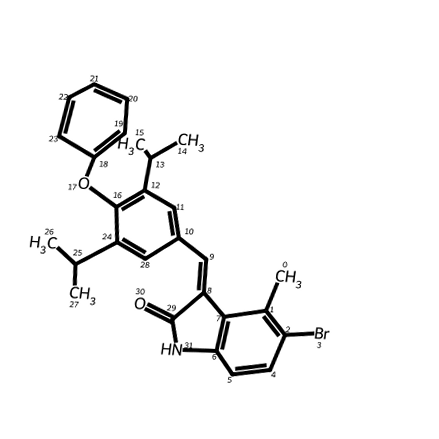 Cc1c(Br)ccc2c1C(=Cc1cc(C(C)C)c(Oc3ccccc3)c(C(C)C)c1)C(=O)N2